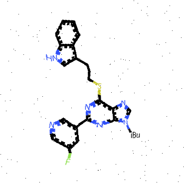 CCC(C)n1cnc2c(SCCc3c[nH]c4ccccc34)nc(-c3cncc(F)c3)nc21